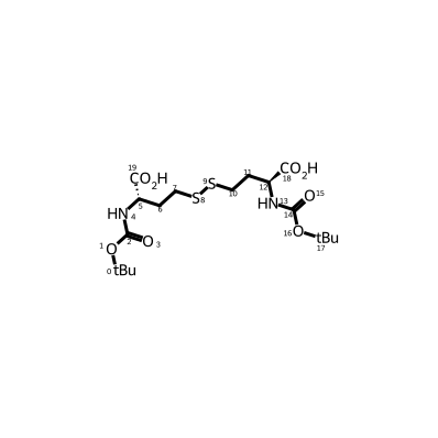 CC(C)(C)OC(=O)N[C@@H](CCSSCC[C@H](NC(=O)OC(C)(C)C)C(=O)O)C(=O)O